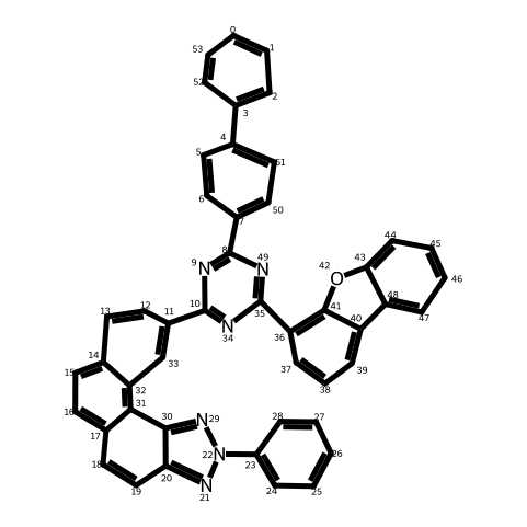 c1ccc(-c2ccc(-c3nc(-c4ccc5ccc6ccc7nn(-c8ccccc8)nc7c6c5c4)nc(-c4cccc5c4oc4ccccc45)n3)cc2)cc1